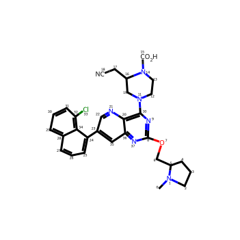 CN1CCCC1COc1nc(N2CCN(C(=O)O)C(CC#N)C2)c2ncc(-c3cccc4cccc(Cl)c34)cc2n1